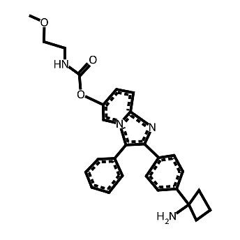 COCCNC(=O)Oc1ccc2nc(-c3ccc(C4(N)CCC4)cc3)c(-c3ccccc3)n2c1